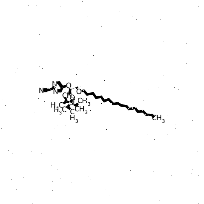 CCCCCCCCCCCCCCCCCCOC[C@H](CO[Si](C(C)C)(C(C)C)C(C)C)Oc1cnc(C#N)nc1